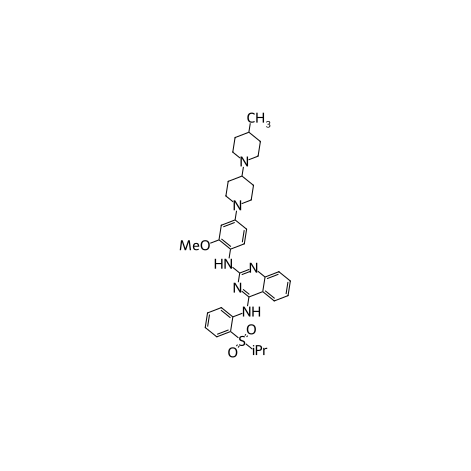 COc1cc(N2CCC(N3CCC(C)CC3)CC2)ccc1Nc1nc(Nc2ccccc2S(=O)(=O)C(C)C)c2ccccc2n1